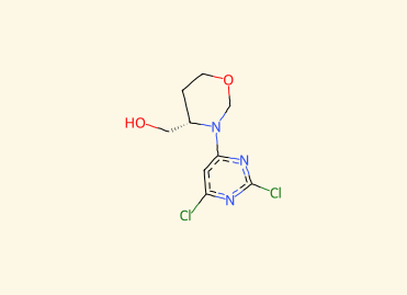 OC[C@@H]1CCOCN1c1cc(Cl)nc(Cl)n1